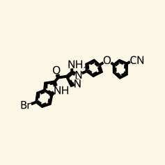 N#Cc1cccc(Oc2ccc(-n3ncc(C(=O)c4cc5cc(Br)ccc5[nH]4)c3N)cc2)c1